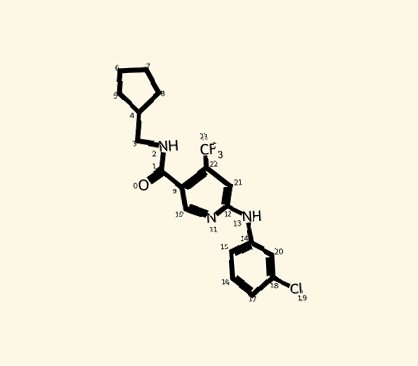 O=C(NCC1CCCC1)c1cnc(Nc2cccc(Cl)c2)cc1C(F)(F)F